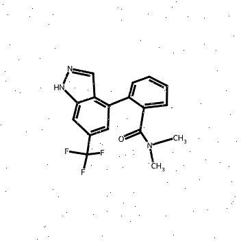 CN(C)C(=O)c1ccccc1-c1cc(C(F)(F)F)cc2[nH]ncc12